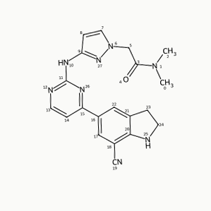 CN(C)C(=O)Cn1ccc(Nc2nccc(-c3cc(C#N)c4c(c3)CCN4)n2)n1